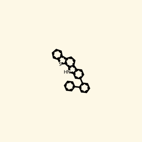 c1ccc(-c2ccccc2-c2ccc3c(c2)[nH]c2c3ccc3c4ccccc4sc32)cc1